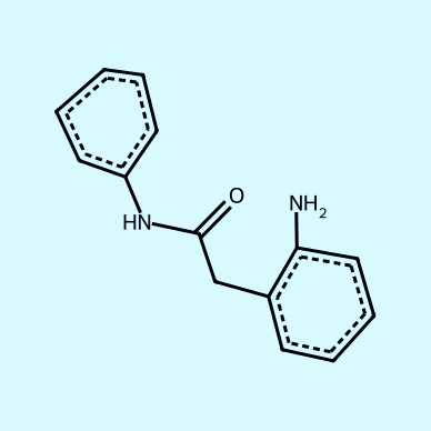 Nc1ccccc1CC(=O)Nc1ccccc1